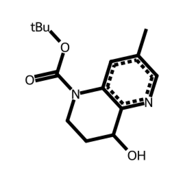 Cc1cnc2c(c1)N(C(=O)OC(C)(C)C)CCC2O